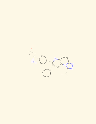 CC1(O)CC(N)(c2ccc(-c3nc4ccc5nnc(C(F)F)n5c4cc3-c3ccccc3)cc2)C1